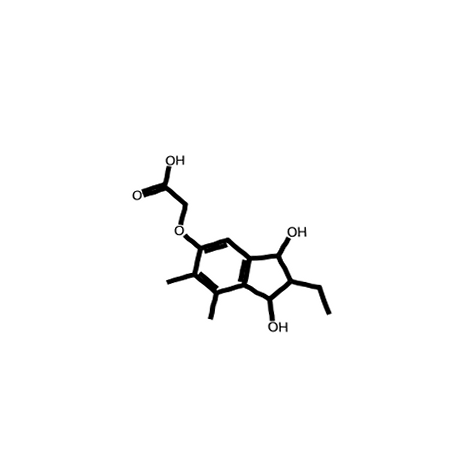 CCC1C(O)c2cc(OCC(=O)O)c(C)c(C)c2C1O